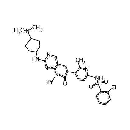 Cc1nc(NS(=O)(=O)c2ccccc2Cl)ccc1-c1cc2cnc(NC3CCC(N(C)C)CC3)nc2n(C(C)C)c1=O